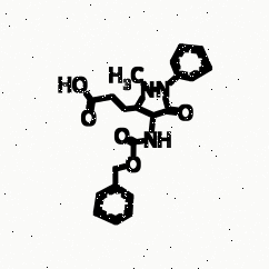 CN1C(CCC(=O)O)C(NC(=O)OCc2ccccc2)C(=O)N1c1ccccc1